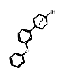 OC12CCC(c3cccc(Oc4ccccc4)c3)(CC1)OC2